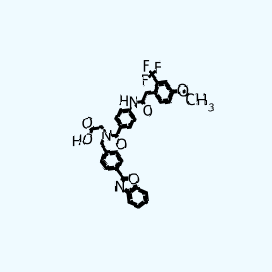 COc1ccc(CC(=O)Nc2ccc(C(=O)N(CC(=O)O)Cc3ccc(-c4nc5ccccc5o4)cc3)cc2)c(C(F)(F)F)c1